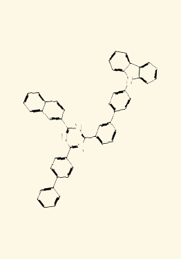 c1ccc(-c2ccc(-c3nc(-c4cccc(-c5ccc(-n6c7ccccc7c7ccccc76)cc5)c4)nc(-c4ccc5ccccc5c4)n3)cc2)cc1